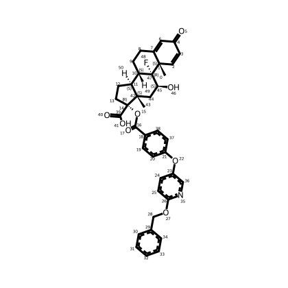 C[C@]12C=CC(=O)C=C1CC[C@H]1[C@@H]3CC[C@](OC(=O)c4ccc(Oc5ccc(OCc6ccccc6)nc5)cc4)(C(=O)O)[C@@]3(C)C[C@H](O)[C@@]12F